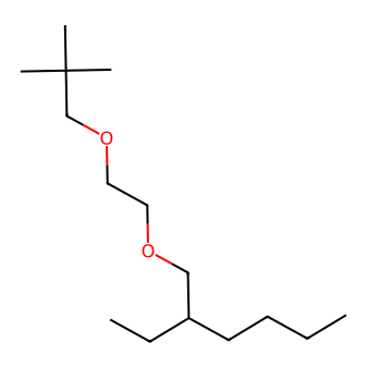 CCCCC(CC)COCCOCC(C)(C)C